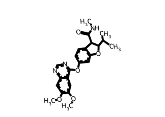 CNC(=O)C1c2ccc(Oc3ncnc4cc(OC)c(OC)cc34)cc2OC1C(C)C